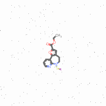 CCOC(=O)c1cc2c(o1)-c1cccnc1N(SI)CC2